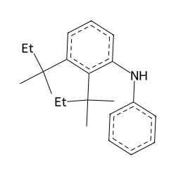 CCC(C)(C)c1cccc(Nc2ccccc2)c1C(C)(C)CC